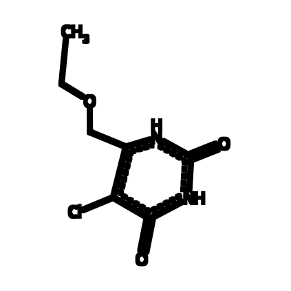 CCOCc1[nH]c(=O)[nH]c(=O)c1Cl